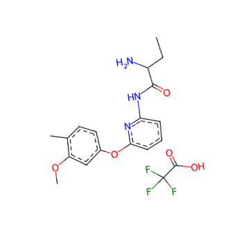 CCC(N)C(=O)Nc1cccc(Oc2ccc(C)c(OC)c2)n1.O=C(O)C(F)(F)F